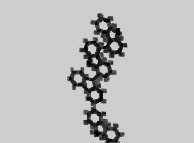 c1ccc2c(c1)-c1cc(-c3ccc4sc5ccccc5c4c3)ccc1C2c1cccc2c1sc1cccc(-c3cccc4sc5ccccc5c34)c12